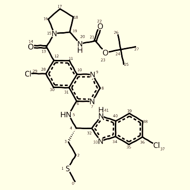 CSCC[C@H](Nc1ncnc2cc(C(=O)N3CCCC3NC(=O)OC(C)(C)C)c(Cl)cc12)c1nc2cc(Cl)ccc2[nH]1